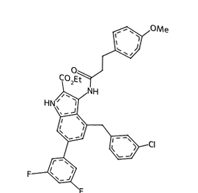 CCOC(=O)c1[nH]c2cc(-c3cc(F)cc(F)c3)cc(Cc3cccc(Cl)c3)c2c1NC(=O)CCc1ccc(OC)cc1